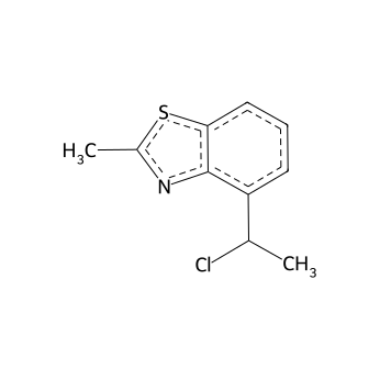 Cc1nc2c(C(C)Cl)cccc2s1